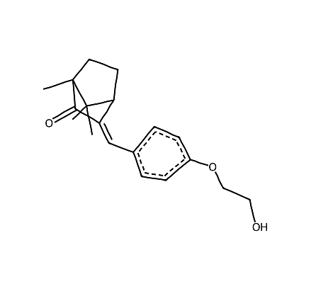 CC12CCC(C(=Cc3ccc(OCCO)cc3)C1=O)C2(C)C